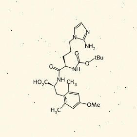 COc1cc(C)c(C[C@H](NC(=O)[C@@H](CCCn2ccnc2N)NC(=O)OC(C)(C)C)C(=O)O)c(C)c1